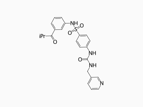 CC(C)C(=O)c1cccc(NS(=O)(=O)c2ccc(NC(=O)NCc3cccnc3)cc2)c1